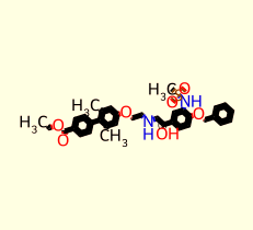 CCOC(=O)c1ccc(-c2c(C)cc(OCCNC[C@@H](O)c3ccc(OCc4ccccc4)c(NS(C)(=O)=O)c3)cc2C)cc1